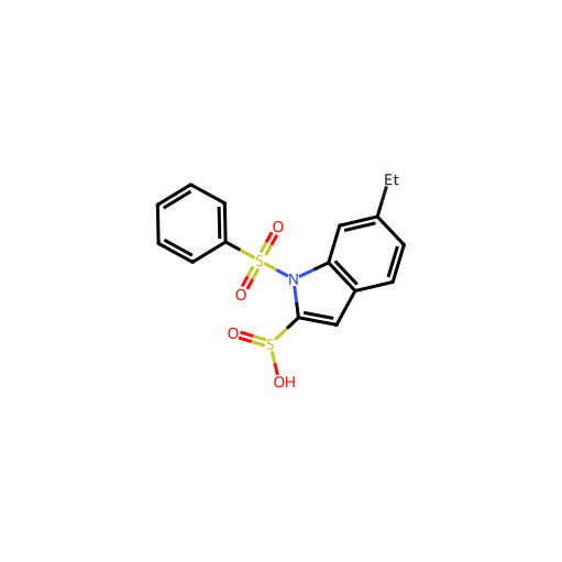 CCc1ccc2cc(S(=O)O)n(S(=O)(=O)c3ccccc3)c2c1